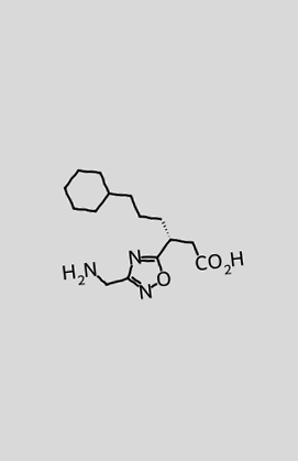 NCc1noc([C@H](CCCC2CCCCC2)CC(=O)O)n1